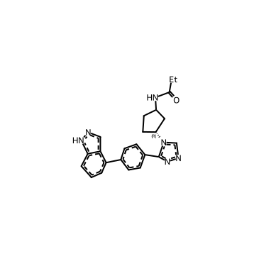 CCC(=O)NC1CC[C@@H](n2cnnc2-c2ccc(-c3cccc4[nH]ncc34)cc2)C1